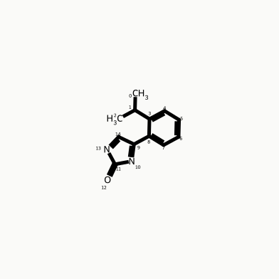 CC(C)c1ccccc1C1=NC(=O)N=C1